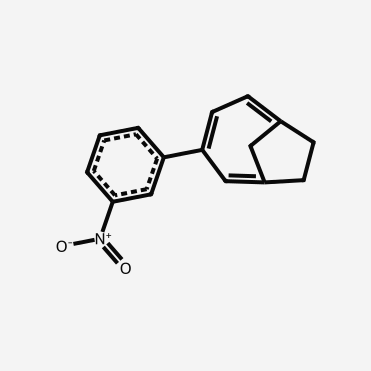 O=[N+]([O-])c1cccc(C2=CC=C3CCC(=C2)C3)c1